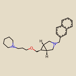 c1ccc2cc(CN3C[C@@H]4[C@@H](COCCCN5CCCCC5)[C@@H]4C3)ccc2c1